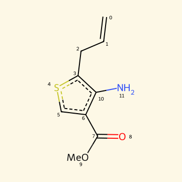 C=CCc1scc(C(=O)OC)c1N